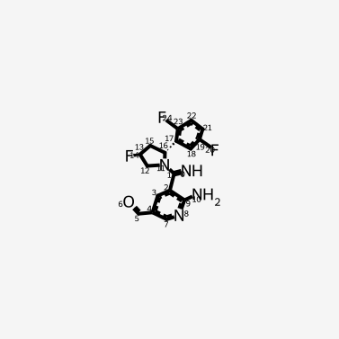 N=C(c1cc(C=O)cnc1N)N1C[C@@H](F)C[C@@H]1c1cc(F)ccc1F